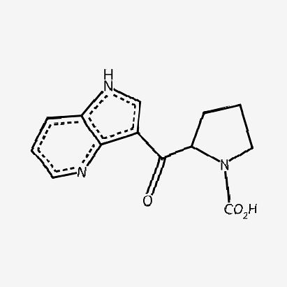 O=C(c1c[nH]c2cccnc12)C1CCCN1C(=O)O